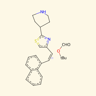 C(=C/c1cccc2ccccc12)/c1csc(C2CCNCC2)n1.CC(C)(C)OC=O